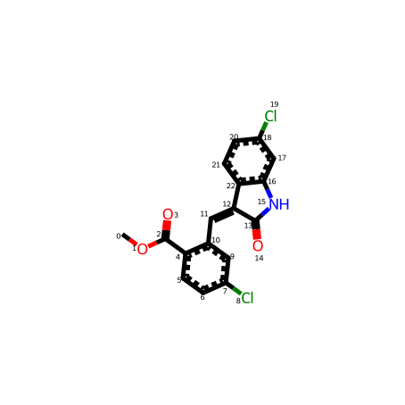 COC(=O)c1ccc(Cl)cc1C=C1C(=O)Nc2cc(Cl)ccc21